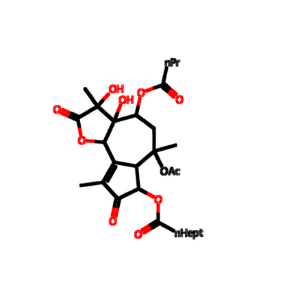 CCCCCCCC(=O)OC1C(=O)C(C)=C2C1C(C)(OC(C)=O)CC(OC(=O)CCC)C1(O)C2OC(=O)C1(C)O